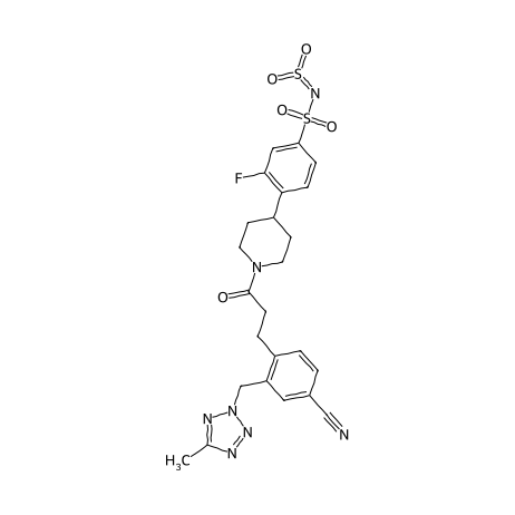 Cc1nnn(Cc2cc(C#N)ccc2CCC(=O)N2CCC(c3ccc(S(=O)(=O)N=S(=O)=O)cc3F)CC2)n1